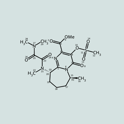 COC(=O)c1nc2n(c(=O)c1OS(C)(=O)=O)[C@@H](C)CCC[C@@H]2N(C)C(=O)C(=O)N(C)C